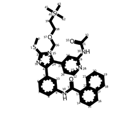 CSc1nc(-c2cccc(NC(=O)c3cccc4ccccc34)c2)c(-c2ccnc(NC(C)=O)c2)n1COCC[Si](C)(C)C